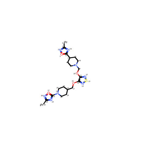 CC(C)c1noc(C2CCN(COc3nsnc3OCC3CCN(c4nc(C(C)C)no4)CC3)CC2)n1